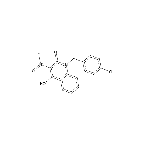 O=c1c([N+](=O)[O-])c(O)c2ccccc2n1Cc1ccc(Cl)cc1